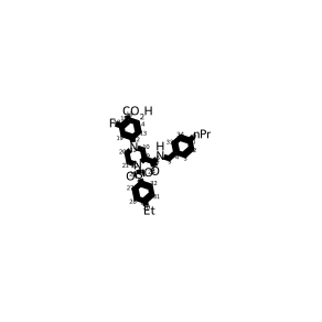 CCCc1ccc(CNC(=O)C2CN(c3ccc(C(=O)O)c(F)c3)CCN2S(=O)(=O)c2ccc(CC)cc2)cc1